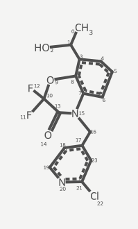 CC(O)c1cccc2c1OC(F)(F)C(=O)N2Cc1ccnc(Cl)c1